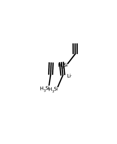 C#C[SiH3].C#C[SiH3].C#C[SiH3].[Li]